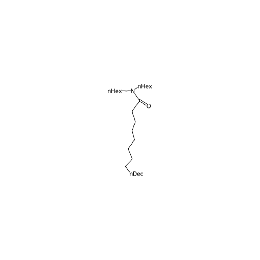 CCCCCCCCCCCCCCCCCC(=O)N(CCCCCC)CCCCCC